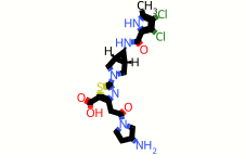 Cc1[nH]c(C(=O)N[C@H]2[C@@H]3CN(c4nc(CC(=O)N5CCC(N)C5)c(C(=O)O)s4)C[C@@H]32)c(Cl)c1Cl